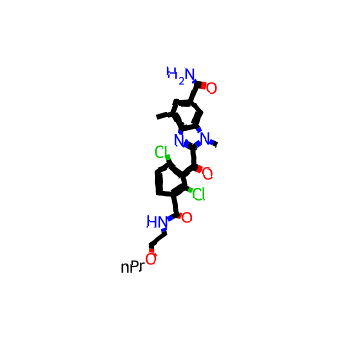 CCCOCCNC(=O)c1ccc(Cl)c(C(=O)c2nc3c(C)cc(C(N)=O)cc3n2C)c1Cl